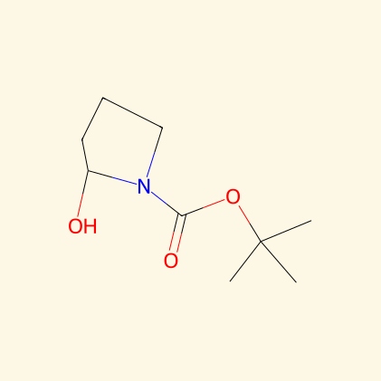 CC(C)(C)OC(=O)N1CCCC1O